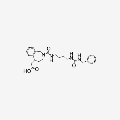 O=C(O)CC1CCN(C(=O)NCCCCNC(=O)NCc2ccccc2)Cc2ccccc21